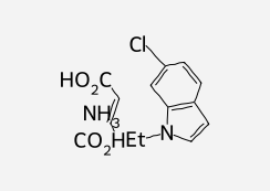 CCn1ccc2ccc(Cl)cc21.N.O=C(O)C=CC(=O)O